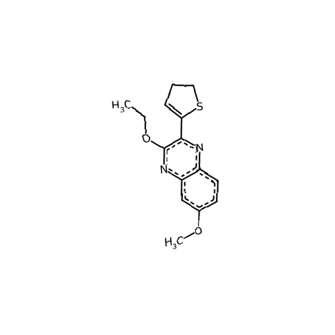 CCOc1nc2cc(OC)ccc2nc1C1=CCCS1